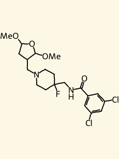 COC1CC(CN2CCC(F)(CNC(=O)c3cc(Cl)cc(Cl)c3)CC2)C(OC)O1